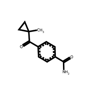 CC1(C(=O)c2ccc(C(N)=O)cc2)CC1